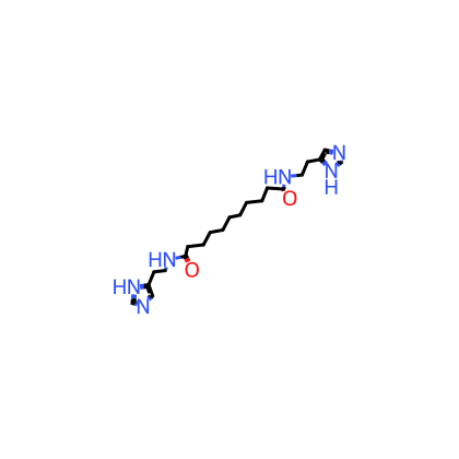 O=C(CCCCCCCCCC(=O)NCCc1cnc[nH]1)NCCc1cnc[nH]1